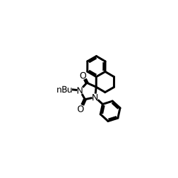 CCCCN1C(=O)N(c2ccccc2)C2(CCCc3ccccc32)C1=O